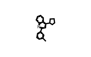 Cc1cccc(-c2cc(C3CCCC3)c3ccccc3n2)c1